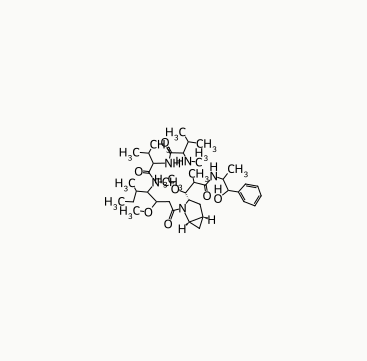 CCC(C)C(C(CC(=O)N1[C@H](C(OC)C(C)C(=O)NC(C)C(O)c2ccccc2)C[C@@H]2C[C@@H]21)OC)N(C)C(=O)C(NC(=O)C(NC)C(C)C)C(C)C